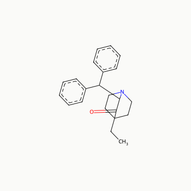 CCC12CCN(CC1)C(C(c1ccccc1)c1ccccc1)C2=O